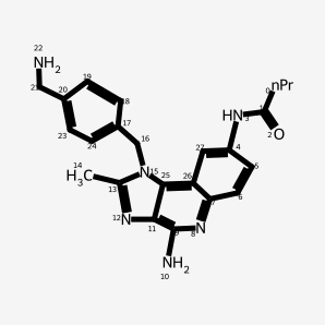 CCCC(=O)Nc1ccc2nc(N)c3nc(C)n(Cc4ccc(CN)cc4)c3c2c1